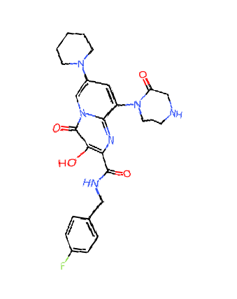 O=C(NCc1ccc(F)cc1)c1nc2c(N3CCNCC3=O)cc(N3CCCCC3)cn2c(=O)c1O